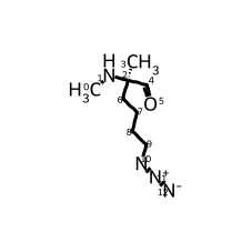 CN[C@@](C)(C=O)CCCCN=[N+]=[N-]